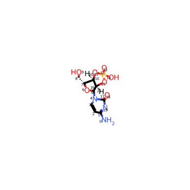 Nc1ccn(C2O[C@H](CO)[C@H]3OP(=O)(O)O[C@@H]23)c(=O)n1